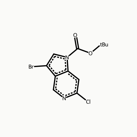 CC(C)(C)OC(=O)n1cc(Br)c2cnc(Cl)cc21